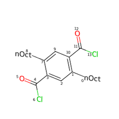 CCCCCCCCc1cc(C(=O)Cl)c(CCCCCCCC)cc1C(=O)Cl